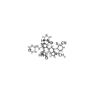 CC(c1ccc(C#N)c(F)c1)n1ccc2cc(-c3c4c(nc(CCC5CCOCC5)c3-c3cc(=O)[nH]o3)[C@@H]3CCCN3C4=O)ccc21